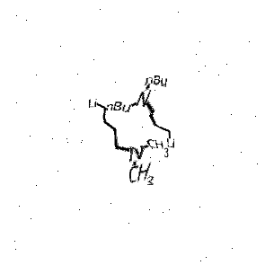 [Li][CH2]CCCN(C)C.[Li][CH2]CCN(CCCC)CCCC